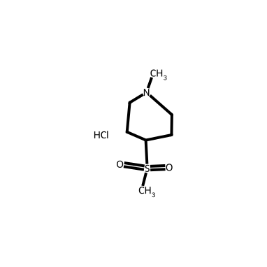 CN1CCC(S(C)(=O)=O)CC1.Cl